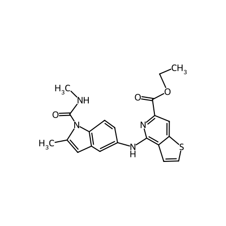 CCOC(=O)c1cc2sccc2c(Nc2ccc3c(c2)cc(C)n3C(=O)NC)n1